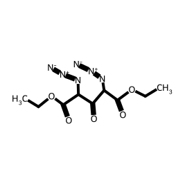 CCOC(=O)C(N=[N+]=[N-])C(=O)C(N=[N+]=[N-])C(=O)OCC